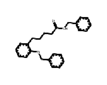 O=C(CCCCc1ccccc1OCc1ccccc1)NCc1ccccc1